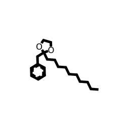 CCCCCCCCCCC1(Cc2ccccc2)OCCO1